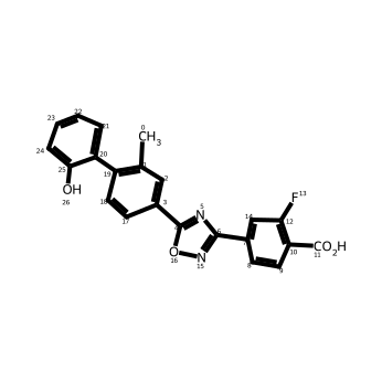 Cc1cc(-c2nc(-c3ccc(C(=O)O)c(F)c3)no2)ccc1-c1ccccc1O